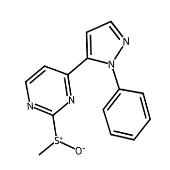 C[S+]([O-])c1nccc(-c2ccnn2-c2ccccc2)n1